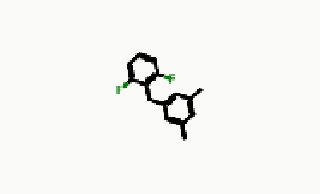 Cc1cc(C)cc(Cc2c(F)cccc2F)c1